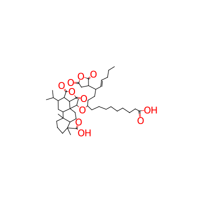 CCC/C=C/C(CCC(CCCCCCCCC(=O)O)OC(C)C12CCC3C(C)(C(=O)O)CCCC3(C)C1CC(C(C)C)C1C(=O)OC(=O)C12)C1CC(=O)OC1=O